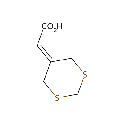 O=C(O)C=C1CSCSC1